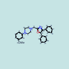 COc1cccc(N2CCN(Cc3nc(-c4ccccc4)c(-c4ccccc4)o3)CC2)c1